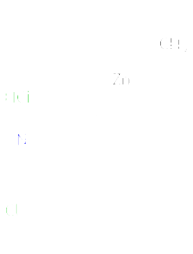 Cl.[CH3][Zn][c]1ccc(Cl)nc1